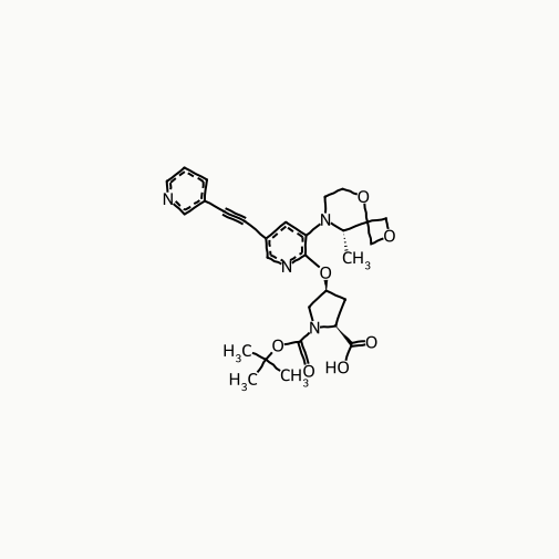 C[C@@H]1N(c2cc(C#Cc3cccnc3)cnc2O[C@H]2C[C@@H](C(=O)O)N(C(=O)OC(C)(C)C)C2)CCOC12COC2